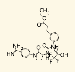 CCOC(=O)CCc1cccc(NC(=O)N[C@H]2CCN(c3ccc(C(=N)N)cc3)C2=O)c1.O=C(O)C(F)(F)F